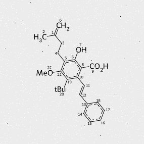 C=C(C)CCc1c(O)c(C(=O)O)c(C=Cc2ccccc2)c(C(C)(C)C)c1OC